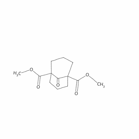 COC(=O)C12CCCC(C(=O)OC)(CCC1)C2=O